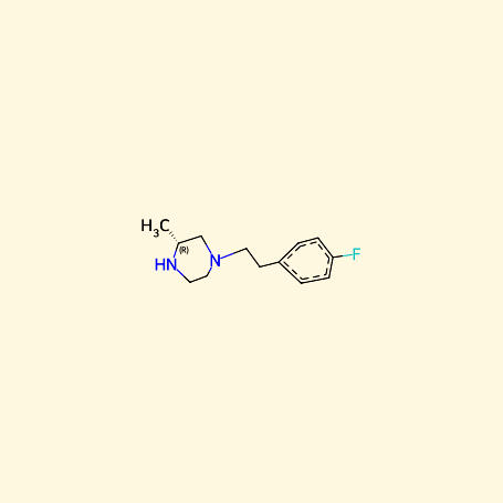 C[C@@H]1CN(CCc2ccc(F)cc2)CCN1